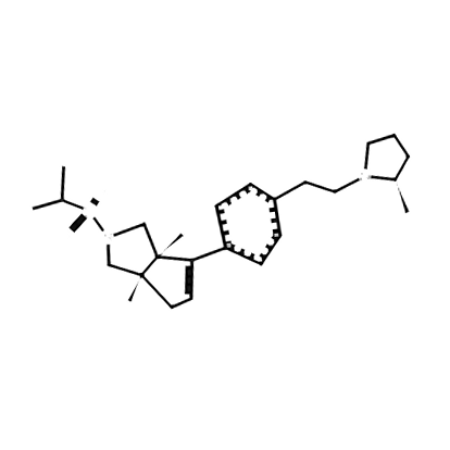 CC(C)S(=O)(=O)N1C[C@H]2CC=C(c3ccc(CCN4CCC[C@H]4C)cc3)[C@H]2C1